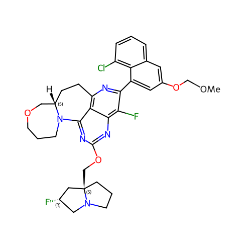 COCOc1cc(-c2nc3c4c(nc(OC[C@@]56CCCN5C[C@H](F)C6)nc4c2F)N2CCCOC[C@@H]2CC3)c2c(Cl)cccc2c1